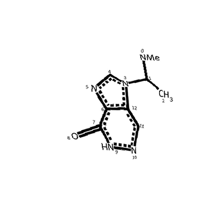 CNC(C)n1cnc2c(=O)[nH]ncc21